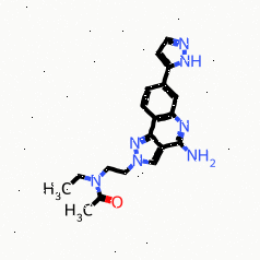 CCN(CCn1cc2c(N)nc3cc(-c4ccn[nH]4)ccc3c2n1)C(C)=O